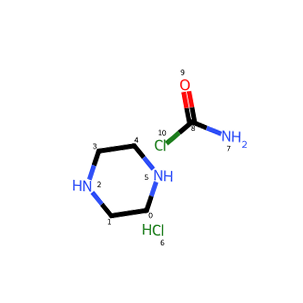 C1CNCCN1.Cl.NC(=O)Cl